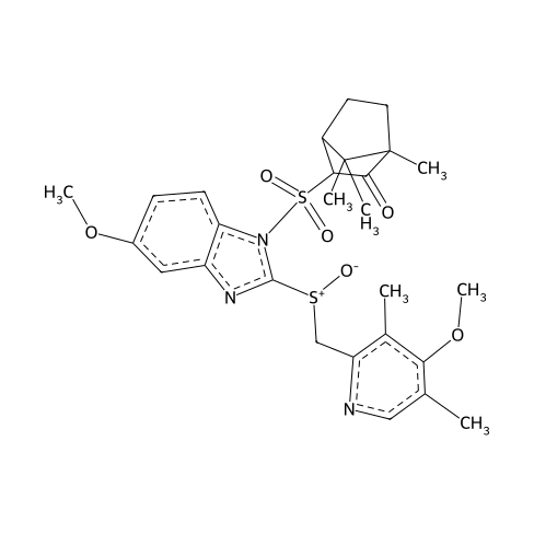 COc1ccc2c(c1)nc([S+]([O-])Cc1ncc(C)c(OC)c1C)n2S(=O)(=O)C1C(=O)C2(C)CCC1C2(C)C